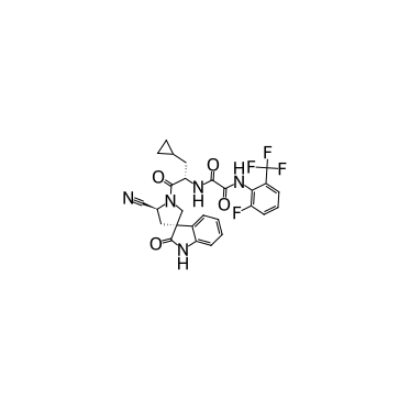 N#C[C@@H]1C[C@@]2(CN1C(=O)[C@H](CC1CC1)NC(=O)C(=O)Nc1c(F)cccc1C(F)(F)F)C(=O)Nc1ccccc12